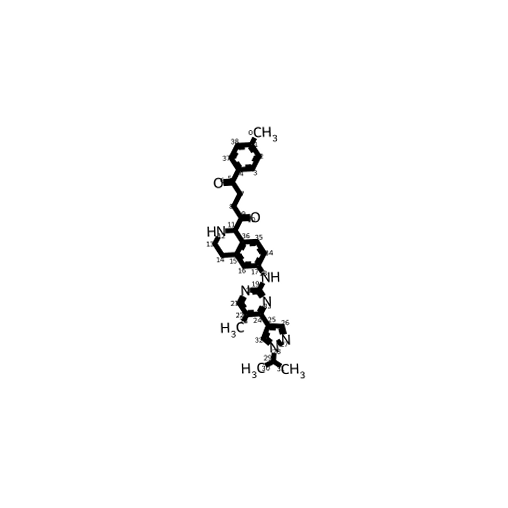 Cc1ccc(C(=O)CCC(=O)C2NCCc3cc(Nc4ncc(C)c(-c5cnn(C(C)C)c5)n4)ccc32)cc1